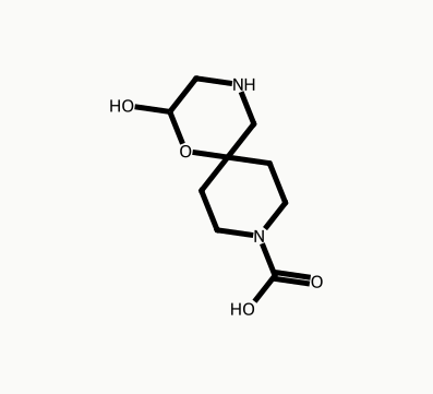 O=C(O)N1CCC2(CC1)CNCC(O)O2